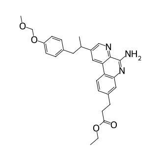 CCOC(=O)CCc1ccc2c(c1)nc(N)c1ncc(C(C)Cc3ccc(OCOC)cc3)cc12